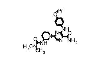 CC(C)Oc1ccc(Nc2nc(N3CCCC(NC(=O)N(C)C)C3)cnc2C(N)=O)cc1